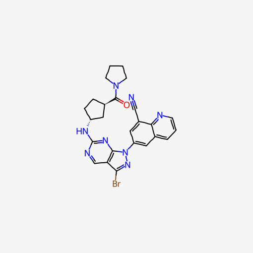 N#Cc1cc(-n2nc(Br)c3cnc(N[C@@H]4CC[C@@H](C(=O)N5CCCC5)C4)nc32)cc2cccnc12